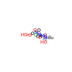 CCCCN(CCO)C(=O)CNC(=O)N1Cc2ccccc2N(C(=O)c2ccc(OCCO)cc2Cl)C[C@H]1C